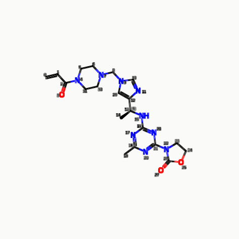 C=CC(=O)N1CCN(Cn2cnc([C@H](C)Nc3nc(C)nc(N4CCOC4=O)n3)c2)CC1